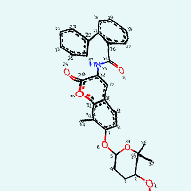 COC1CCC(Oc2ccc3cc(NC(=O)c4ccccc4-c4ccccc4)c(=O)oc3c2C)OC1(C)C